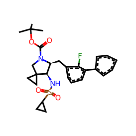 CC(C)(C)OC(=O)N1CC2(CC2)[C@H](NS(=O)(=O)C2CC2)[C@@H]1Cc1cccc(-c2ccccc2)c1F